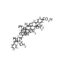 C=C[C@@]12C[C@@H](CN1CC(=O)N[C@]13CC[C@@H](C(C)C)C1[C@H]1CCC4[C@@]5(C)CC=C(c6ccc(C(=O)O)cc6)C(C)(C)C5CC[C@@]4(C)[C@]1(C)CC3)N(Cc1ccccc1)C2